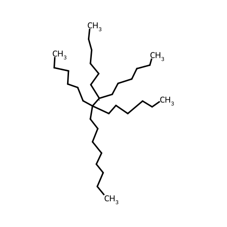 CCCCCCCCC(CCCCCC)(CCCCCC)[C](CCCCCC)CCCCCC